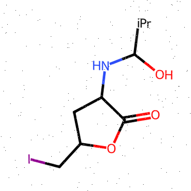 CC(C)C(O)NC1CC(CI)OC1=O